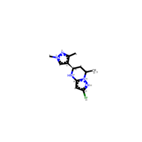 Cc1nn(C)cc1[C@H]1CC(C(F)(F)F)n2nc(Br)cc2N1